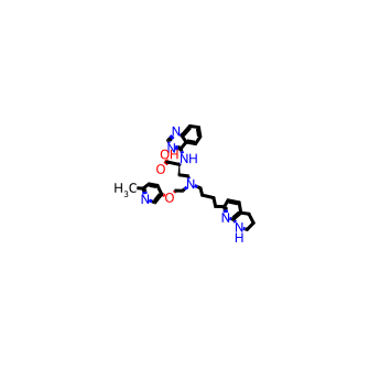 Cc1ccc(OCCN(CCCCc2ccc3c(n2)NCCC3)CC[C@H](Nc2ncnc3ccccc23)C(=O)O)cn1